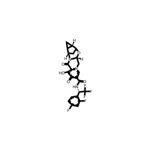 O=C(N[C@@H](c1ccc(F)cc1F)C(F)(F)F)c1cn2c(c(O)c1=O)C(=O)N1[C@@H](C2)OC2C[C@H]1C1C[C@H]21